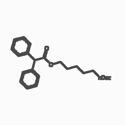 CCCCCCCCCCCCCCCOC(=O)C(c1ccccc1)c1ccccc1